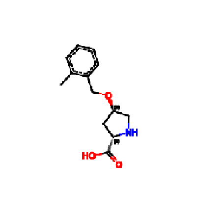 Cc1ccccc1CO[C@H]1CN[C@H](C(=O)O)C1